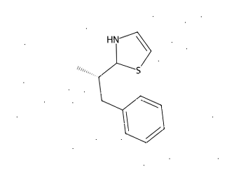 C[C@@H](Cc1ccccc1)C1NC=CS1